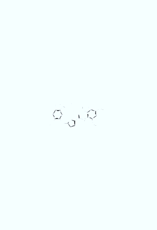 COc1cc(OC)c(NC(=O)c2ccc(Oc3cc([Si](C)(C)C)ccc3C)o2)c(OC)c1